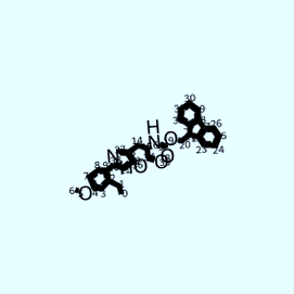 CCc1cc(OC)ccc1-c1ccc(CC(NC(=O)OCC2c3ccccc3-c3ccccc32)C(=O)O)cn1